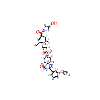 Cc1cc(C(=O)N2CC(O)C2)cc(C)c1C=CS(=O)(=O)N1CCC2(CC1)N=C(c1cccc(OC(F)(F)F)c1)NC2=O